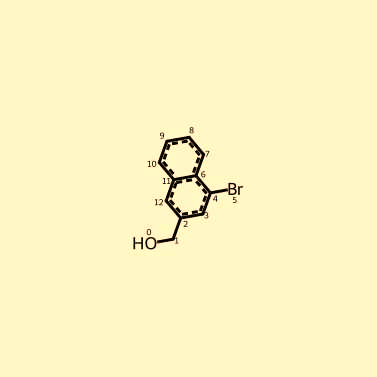 OCc1cc(Br)c2ccccc2c1